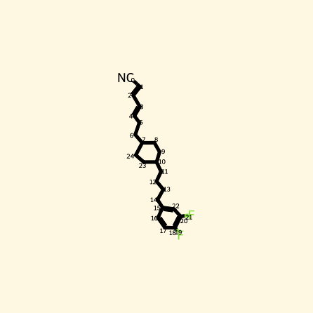 N#CC=CC=CCCC1CCC(CCCCc2ccc(F)c(F)c2)CC1